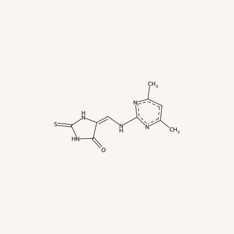 Cc1cc(C)nc(N/C=C2/NC(=S)NC2=O)n1